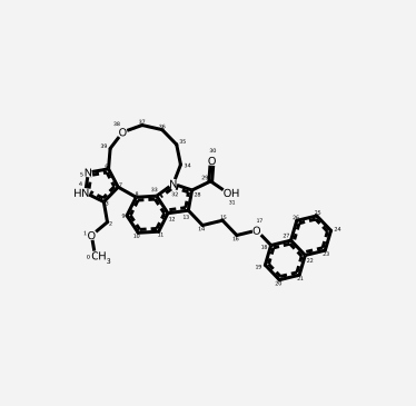 COCc1[nH]nc2c1-c1cccc3c(CCCOc4cccc5ccccc45)c(C(=O)O)n(c13)CCCCOC2